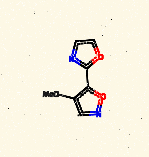 COc1[c]noc1-c1ncco1